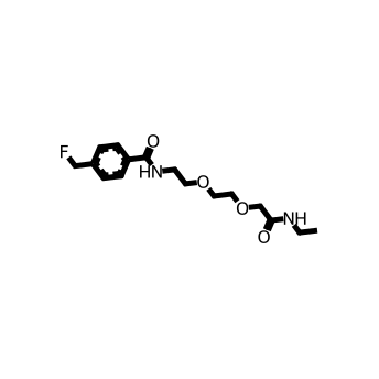 CCNC(=O)COCCOCCNC(=O)c1ccc(CF)cc1